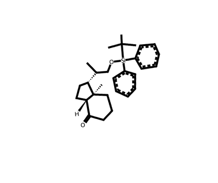 CC(CO[Si](c1ccccc1)(c1ccccc1)C(C)(C)C)[C@H]1CC[C@H]2C(=O)CCC[C@]12C